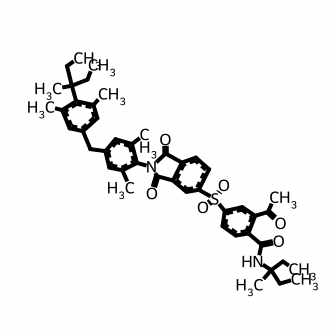 CCC(C)(CC)NC(=O)c1ccc(S(=O)(=O)c2ccc3c(c2)C(=O)N(c2c(C)cc(Cc4cc(C)c(C(C)(CC)CC)c(C)c4)cc2C)C3=O)cc1C(C)=O